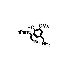 CCCCCC=CC(C)CC.COc1cc(CN)ccc1O